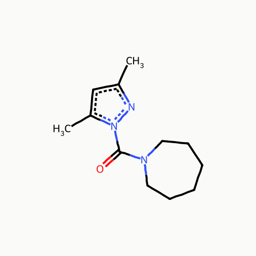 Cc1cc(C)n(C(=O)N2CCCCCC2)n1